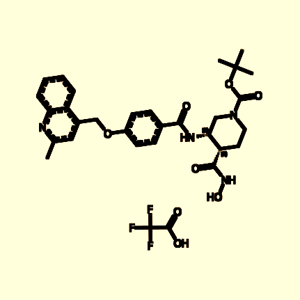 Cc1cc(COc2ccc(C(=O)N[C@@H]3CN(C(=O)OC(C)(C)C)CC[C@@H]3C(=O)NO)cc2)c2ccccc2n1.O=C(O)C(F)(F)F